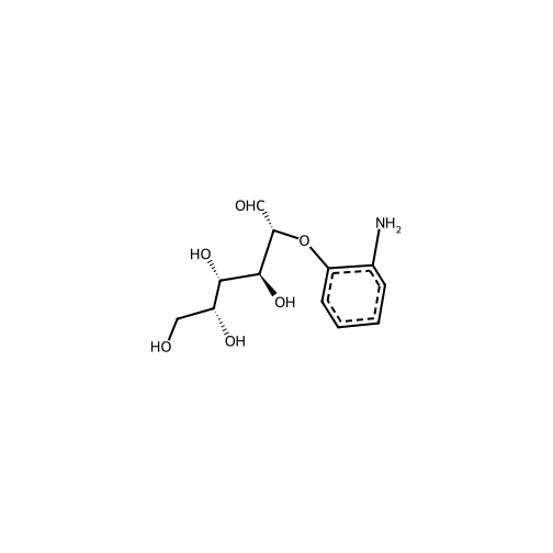 Nc1ccccc1O[C@@H](C=O)[C@@H](O)[C@@H](O)[C@H](O)CO